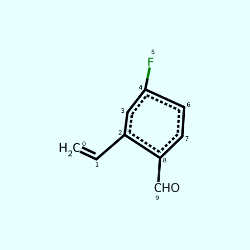 C=Cc1cc(F)ccc1C=O